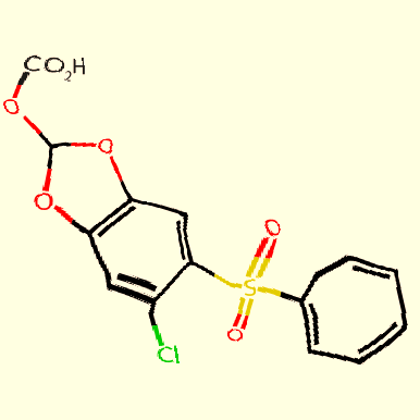 O=C(O)OC1Oc2cc(Cl)c(S(=O)(=O)c3ccccc3)cc2O1